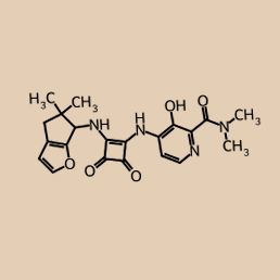 CN(C)C(=O)c1nccc(Nc2c(NC3c4occc4CC3(C)C)c(=O)c2=O)c1O